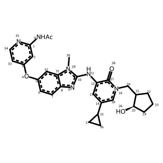 CC(=O)Nc1cc(Oc2ccc3nc(Nc4cc(C5CC5)cn(CC5CCC[C@H]5O)c4=O)n(C)c3c2)ccn1